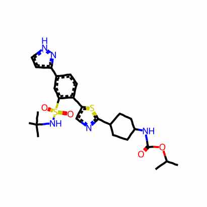 CC(C)OC(=O)NC1CCC(c2ncc(-c3ccc(-c4cc[nH]n4)cc3S(=O)(=O)NC(C)(C)C)s2)CC1